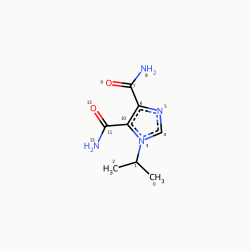 CC(C)n1cnc(C(N)=O)c1C(N)=O